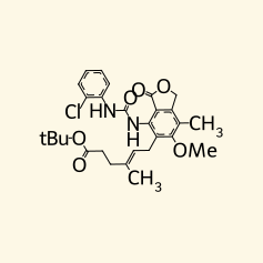 COc1c(C)c2c(c(NC(=O)Nc3ccccc3Cl)c1C/C=C(\C)CCC(=O)OC(C)(C)C)C(=O)OC2